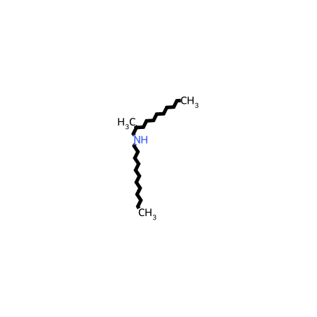 CCCCCCCCCCCCNCC(C)CCCCCCCCC